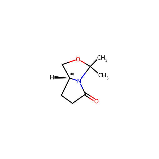 CC1(C)OC[C@H]2CCC(=O)N21